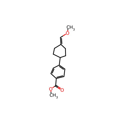 COC=C1CCC(c2ccc(C(=O)OC)cc2)CC1